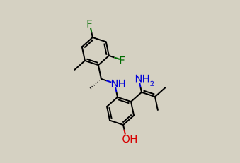 CC(C)=C(N)c1cc(O)ccc1N[C@H](C)c1c(C)cc(F)cc1F